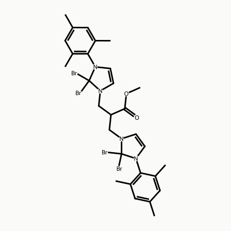 COC(=O)C(CN1C=CN(c2c(C)cc(C)cc2C)C1(Br)Br)CN1C=CN(c2c(C)cc(C)cc2C)C1(Br)Br